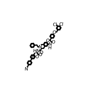 N#Cc1ccc(-c2ccc(C[C@H](NC(=O)C3Cc4cc5c(cc4CN3CCc3ccccc3)OC(c3ccc(OCc4ccc(Cl)c(Cl)c4)cc3)C(=O)N5)C(=O)O)cc2)cc1